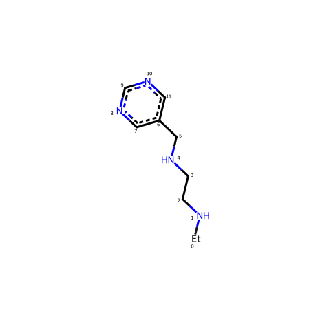 CCNCCNCc1cncnc1